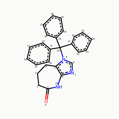 O=C1CCCc2c(ncn2C(c2ccccc2)(c2ccccc2)c2ccccc2)N1